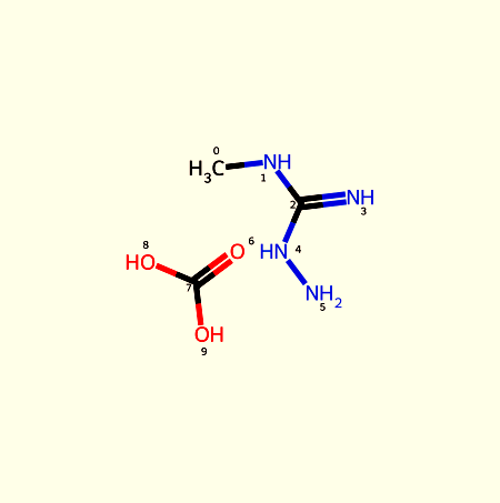 CNC(=N)NN.O=C(O)O